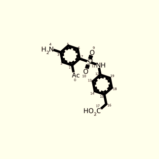 CC(=O)c1cc(N)ccc1S(=O)(=O)Nc1ccc(CC(=O)O)cc1